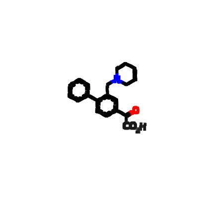 O=C(O)C(=O)c1ccc(-c2ccccc2)c(CN2CC=CCC2)c1